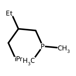 CCC(CC(C)C)CP(C)C